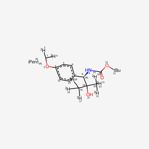 [2H]C([2H])(Oc1ccc([C@@H](NC(=O)OC(C)(C)C)C(O)(C([2H])([2H])[2H])C([2H])([2H])[2H])cc1)[C@H](C)CCC